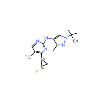 Cc1nn(C(C)(C)C#N)cc1Nc1ncc(C(F)(F)F)c([C@H]2C[C@@H]2F)n1